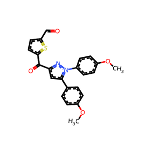 COc1ccc(-c2cc(C(=O)c3ccc(C=O)s3)nn2-c2ccc(OC)cc2)cc1